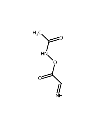 CC(=O)NOC(=O)C=N